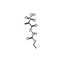 C=C(C(=O)ONC(=O)OCC)S(=O)(=O)O